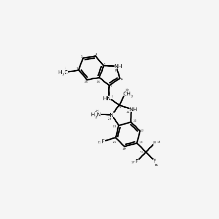 Cc1ccc2[nH]cc(NC3(C)Nc4cc(C(F)(F)F)cc(F)c4N3N)c2c1